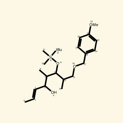 CC=CC(O)C(C)C(O[Si](C)(C)C(C)(C)C)C(C)COCc1ccc(OC)cc1